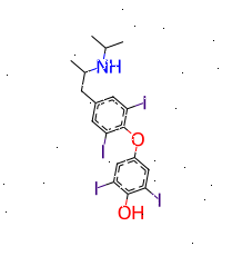 CC(C)NC(C)Cc1cc(I)c(Oc2cc(I)c(O)c(I)c2)c(I)c1